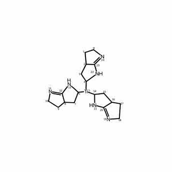 C1CC2C[CH]([Ti]([CH]3CC4CCN=C4N3)[CH]3CC4CCN=C4N3)NC2=N1